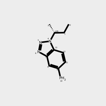 CC[C@@H](C)n1nnc2cc(P)ccc21